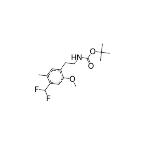 COc1cc(C(F)F)c(C)cc1CCNC(=O)OC(C)(C)C